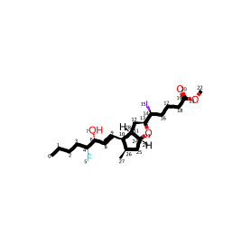 CCCC[C@@H](F)[C@H](O)/C=C/[C@H]1[C@H]2C[C@@H]([C@@H](I)CCCC(=O)OC)O[C@H]2C[C@H]1C